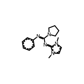 Cn1ccn(C)c1=NC(=Nc1ccccc1)N1CCCC1